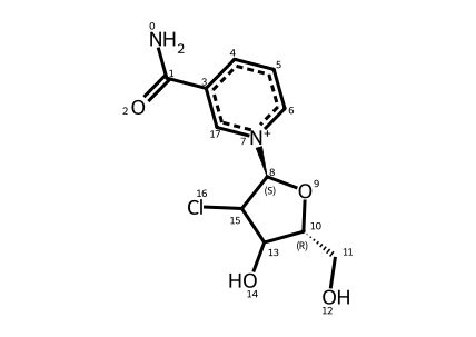 NC(=O)c1ccc[n+]([C@H]2O[C@H](CO)C(O)C2Cl)c1